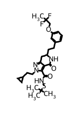 CC(F)(F)COc1cccc(CCC2Cc3nn(CCC4CC4)c(C(=O)NSC(C)(C)C)c3C(=O)N2)c1